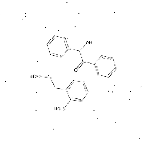 CCCCCCCCCCCCc1ccccc1S(=O)(=O)O.O=C(c1ccccc1)C(O)c1ccccc1